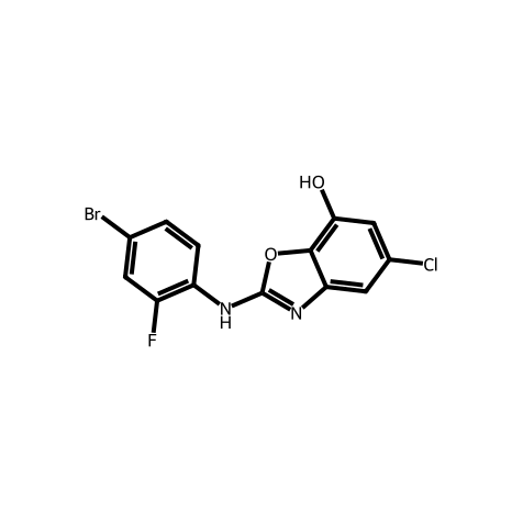 Oc1cc(Cl)cc2nc(Nc3ccc(Br)cc3F)oc12